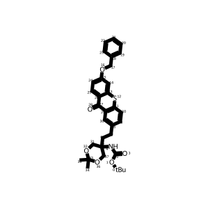 CC(C)(C)OC(=O)NC1(CCc2ccc3sc4cc(OCc5ccccc5)ccc4c(=O)c3c2)COC(C)(C)OC1